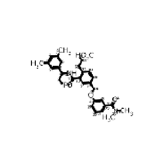 Cc1cc(C)cc(C(CC(C)C)NC(=O)c2cc(COc3cccc(C(=O)N(C)C)c3)ccc2CCC(=O)O)c1